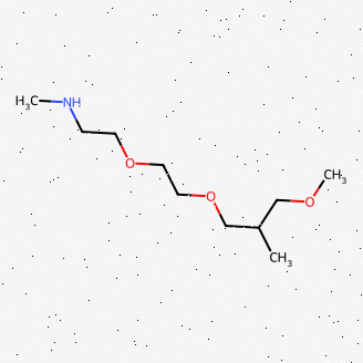 CNCCOCCOCC(C)COC